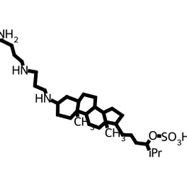 CC(C)C(CCCC1CCC2C3CCC4CC(NCCCNCCCCN)CCC4(C)C3CCC12C)OS(=O)(=O)O